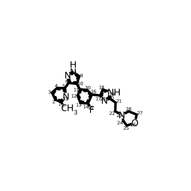 Cc1cccc(-c2n[nH]cc2-c2ccc(F)c(-c3c[nH]c(CCN4CCOCC4)n3)c2)n1